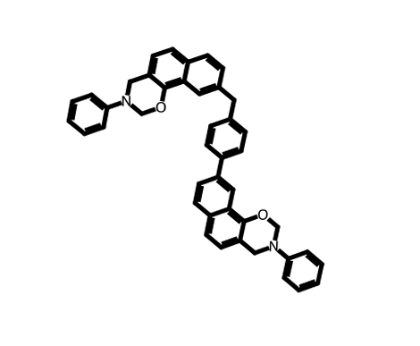 c1ccc(N2COc3c(ccc4ccc(Cc5ccc(-c6ccc7ccc8c(c7c6)OCN(c6ccccc6)C8)cc5)cc34)C2)cc1